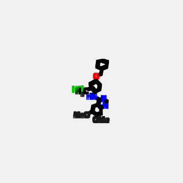 COc1cc2ncnc(Nc3ccc(OCc4ccccc4)cc3C)c2cc1OC.Cl